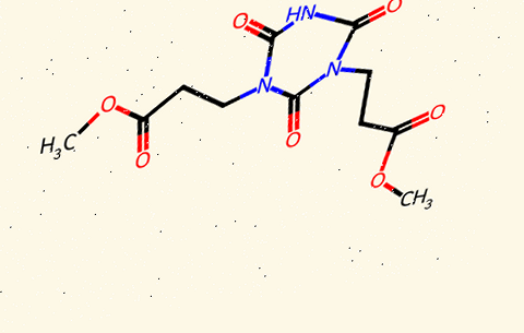 COC(=O)CCn1c(=O)[nH]c(=O)n(CCC(=O)OC)c1=O